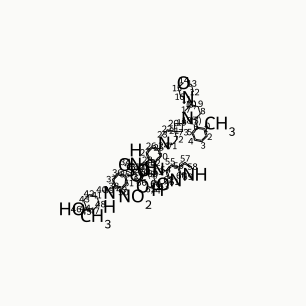 Cc1ccccc1[C@@H]1CC[C@H](N2CCOCC2)CN1C1CC2(CCN(c3ccc(C(=O)NS(=O)(=O)c4ccc(NC[C@H]5CC[C@](C)(O)CC5)c([N+](=O)[O-])c4)c(N4c5cc6cc[nH]c6nc5O[C@H]5COCC[C@@H]54)c3)CC2)C1